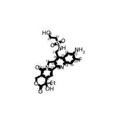 CC[C@@]1(O)C(=O)OCc2c1cc1n(c2=O)Cc2c-1nc1cc(F)c(N)cc1c2CNS(=O)(=O)CCO